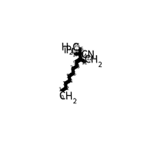 C=CCCCCCCC/C=C(\C=C)C(C#N)(C=C)CC(C)C